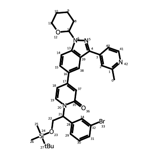 Cc1cc(-c2nn(C3CCCCO3)c3ccc(-c4ccn(C(CO[Si](C)(C)C(C)(C)C)c5cccc(Br)c5)c(=O)c4)cc23)ccn1